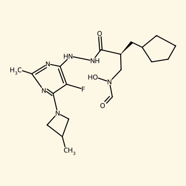 Cc1nc(NNC(=O)[C@@H](CC2CCCC2)CN(O)C=O)c(F)c(N2CC(C)C2)n1